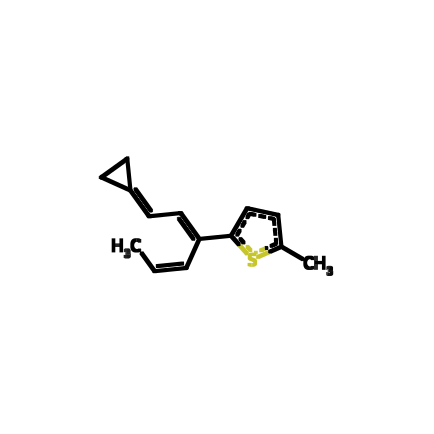 C/C=C\C(=C/C=C1CC1)c1ccc(C)s1